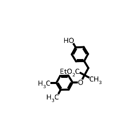 CCOC(=O)C(C)(Cc1ccc(O)cc1)Oc1ccc(C)c(C)c1